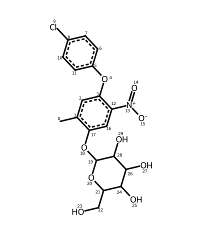 Cc1cc(Oc2ccc(Cl)cc2)c([N+](=O)[O-])cc1OC1OC(CO)C(O)C(O)C1O